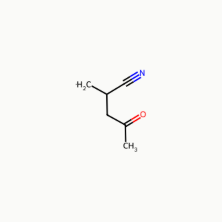 [CH2]C(C#N)CC(C)=O